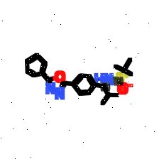 CC(C)[C@H](N[S@@+]([O-])C(C)(C)C)c1ccc(-c2nnc(-c3ccccc3)o2)cc1